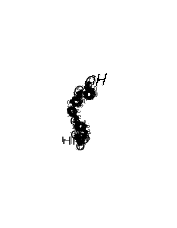 Cc1cc(C(=O)N2CCCCC2CO)ccc1-c1cccc(COc2ccc(Cn3oc(=O)[nH]c3=O)cc2)c1